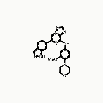 COc1cc(Nc2nc(-c3ccc4cn[nH]c4c3)cn3ncnc23)ccc1N1CCOCC1